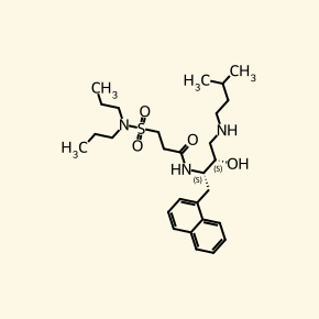 CCCN(CCC)S(=O)(=O)CCC(=O)N[C@@H](Cc1cccc2ccccc12)[C@@H](O)CNCCC(C)C